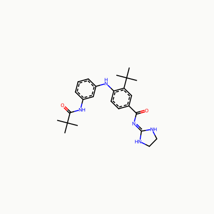 CC(C)(C)C(=O)Nc1cccc(Nc2ccc(C(=O)N=C3NCCN3)cc2C(C)(C)C)c1